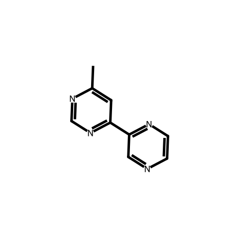 Cc1cc(-c2cnccn2)ncn1